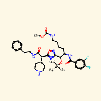 CC(C)(C)OC(=O)NCCCCC(NC(=O)c1ccc(F)c(F)c1)C(O[Si](C)(C)C(C)(C)C)c1noc(C(C(=O)NCCc2ccccc2)C2CCNCC2)n1